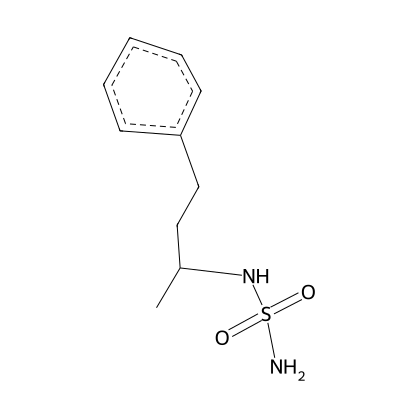 CC(CCc1ccccc1)NS(N)(=O)=O